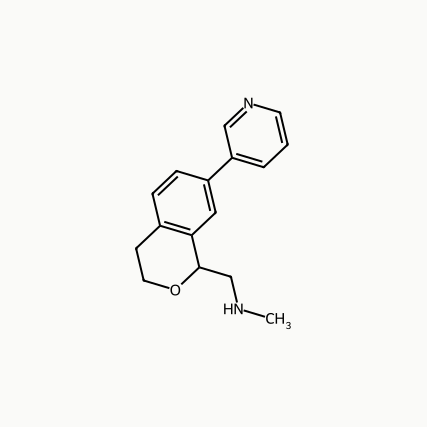 CNCC1OCCc2ccc(-c3cccnc3)cc21